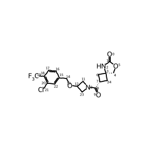 O=C1N[C@]2(CO1)C[C@@H](C(=O)N1CC(OCc3ccc(C(F)(F)F)c(Cl)c3)C1)C2